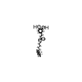 [N-]=[N+]=NCCCCCOC(=O)C=Cc1ccc(O)c(O)c1